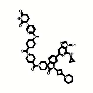 CC(C)n1cnc2cc(-c3ccc4c(c3)N(C3CC(N5CCCCC5)C3)C(=O)C43CCN(C(=O)C4CCN(C(=O)C5CCC(N(C)c6ccc([C@H]7CCC(=O)NC7=O)cn6)CC5)CC4)CC3)nc(NC3CC3)c21